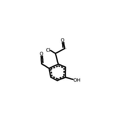 O=[C]C(Cl)c1cc(O)ccc1C=O